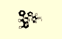 Nc1ncnc(N2CCC[C@H]2c2nn3ccc(Cl)c3c(=O)n2-c2ccccc2)c1Cl